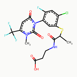 CC(Sc1cc(-n2c(=O)cc(C(F)(F)F)n(C)c2=O)c(F)cc1Cl)C(=O)NCCC(=O)O